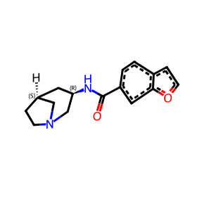 O=C(N[C@@H]1C[C@@H]2CCN(C2)C1)c1ccc2ccoc2c1